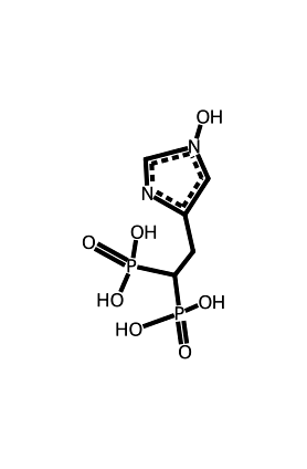 O=P(O)(O)C(Cc1cn(O)cn1)P(=O)(O)O